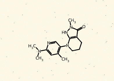 Cc1cc(N(C)C)ncc1N1CCCc2c1[nH]n(C)c2=O